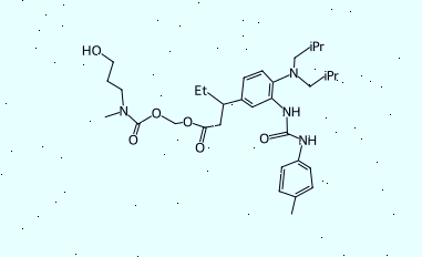 CCC(CC(=O)OCOC(=O)N(C)CCCO)c1ccc(N(CC(C)C)CC(C)C)c(NC(=O)Nc2ccc(C)cc2)c1